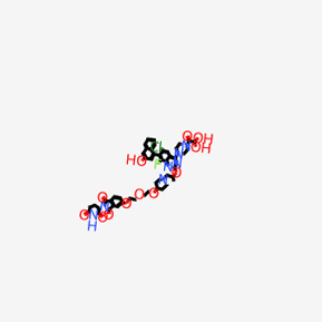 CC(CN1CCC(OCCOCCOc2ccc3c(c2)C(=O)N(C2CCC(=O)NC2=O)C3=O)CC1)Oc1nc(N2CCN(C(=O)C(O)O)CC2)c2cc(Cl)c(-c3cc(O)cc4ccccc34)c(F)c2n1